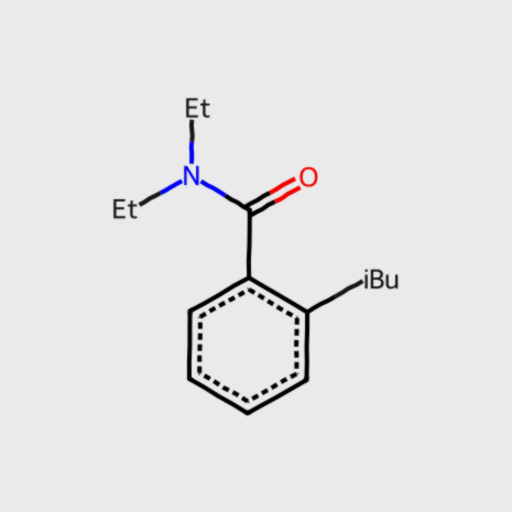 CCC(C)c1ccccc1C(=O)N(CC)CC